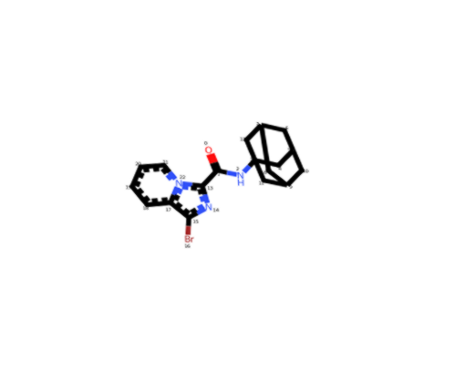 O=C(NC12CC3CC(CC(C3)C1)C2)c1nc(Br)c2ccccn12